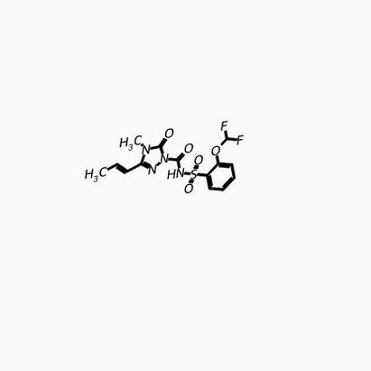 CC=Cc1nn(C(=O)NS(=O)(=O)c2ccccc2OC(F)F)c(=O)n1C